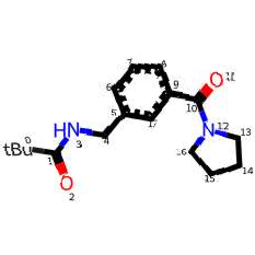 CC(C)(C)C(=O)NCc1cccc(C(=O)N2CCCC2)c1